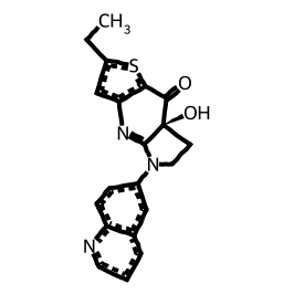 CCc1cc2c(s1)C(=O)[C@]1(O)CCN(c3ccc4ncccc4c3)C1=N2